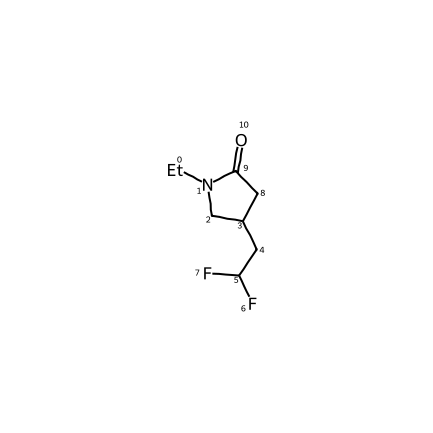 CCN1CC(CC(F)F)CC1=O